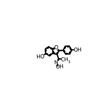 CC(=NO)c1c(-c2ccc(O)cc2)oc2ccc(O)cc12